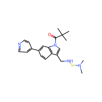 CN(C)SNCc1cn(C(=O)C(C)(C)C)c2cc(-c3ccncc3)ccc12